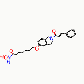 O=C(CCCCCCOc1ccc2c(c1)CCN(C(=O)C=Cc1ccccc1)C2)NO